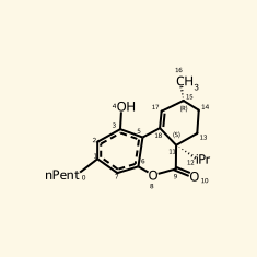 CCCCCc1cc(O)c2c(c1)OC(=O)[C@]1(C(C)C)CC[C@@H](C)C=C21